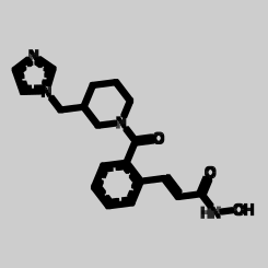 O=C(/C=C/c1ccccc1C(=O)N1CCCC(Cn2ccnc2)C1)NO